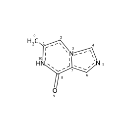 Cc1cn2cncc2c(=O)[nH]1